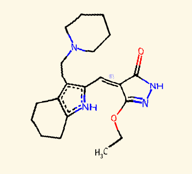 CCOC1=NNC(=O)/C1=C/c1[nH]c2c(c1CN1CCCCC1)CCCC2